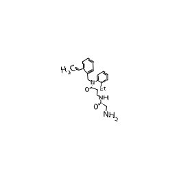 C=Cc1ccccc1CN(C(=O)CCNC(=O)CN)c1ccccc1CC